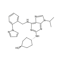 CC(C)n1cnc2c(NCc3ccccc3-n3cccn3)nc(N[C@H]3CC[C@H](O)CC3)nc21